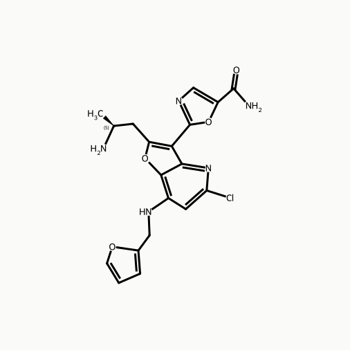 C[C@H](N)Cc1oc2c(NCc3ccco3)cc(Cl)nc2c1-c1ncc(C(N)=O)o1